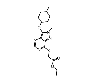 CCOC(=O)CSc1ncnc2c(OC3CCC(C)CC3)n(C)nc12